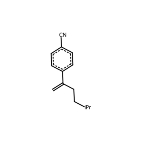 C=C(CCC(C)C)c1ccc(C#N)cc1